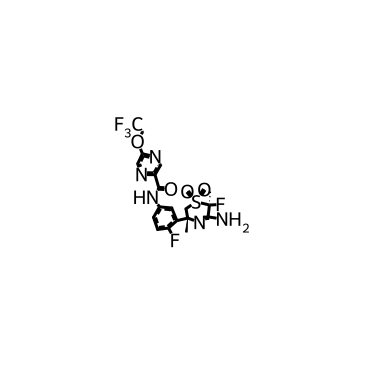 C[C@]1(F)C(N)=N[C@](C)(c2cc(NC(=O)c3cnc(OCC(F)(F)F)cn3)ccc2F)CS1(=O)=O